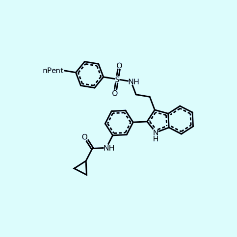 CCCCCc1ccc(S(=O)(=O)NCCc2c(-c3cccc(NC(=O)C4CC4)c3)[nH]c3ccccc23)cc1